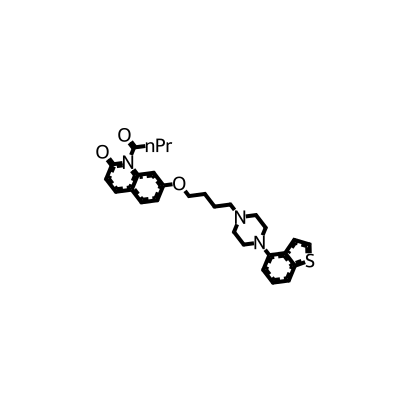 CCCC(=O)n1c(=O)ccc2ccc(OCCCCN3CCN(c4cccc5sccc45)CC3)cc21